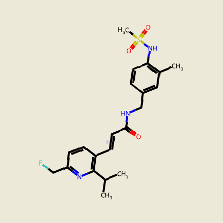 Cc1cc(CNC(=O)/C=C/c2ccc(CF)nc2C(C)C)ccc1NS(C)(=O)=O